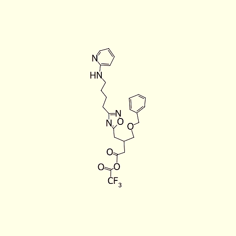 O=C(CC(COCc1ccccc1)Cc1nc(CCCCNc2ccccn2)no1)OC(=O)C(F)(F)F